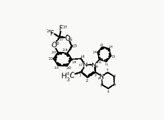 CC1C=C(N2CCCCC2)N(c2ccccc2)N1Cc1cccc2c1COC(F)(F)O2